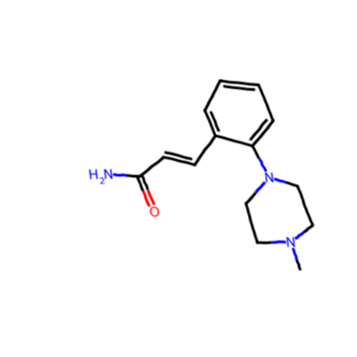 CN1CCN(c2ccccc2/C=C/C(N)=O)CC1